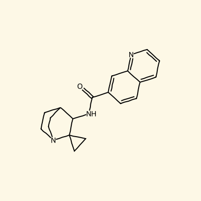 O=C(NC1C2CCN(CC2)C12CC2)c1ccc2cccnc2c1